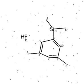 Cc1cc(C)cc([Si](C)C)c1.F